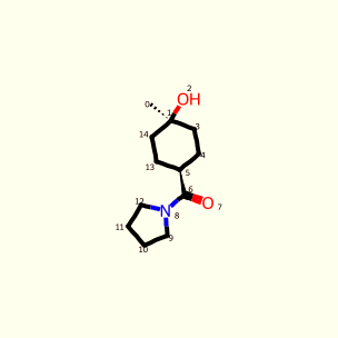 C[C@]1(O)CC[C@@H](C(=O)N2CCCC2)CC1